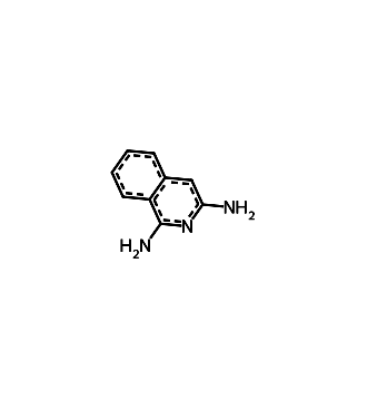 Nc1cc2ccccc2c(N)n1